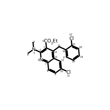 CCOC(=O)c1c(N(C)C)nc2ccc(Cl)cc2c1Cc1ccccc1Cl